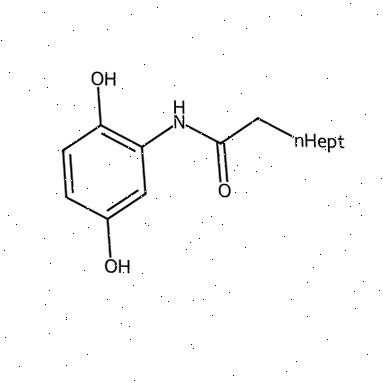 CCCCCCCCC(=O)Nc1cc(O)ccc1O